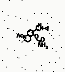 CC(=O)N1c2ccc(-c3cnn(C4CC4)c3)c(OCC(N)=O)c2CC[C@@H]1C